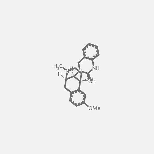 COc1ccc2c(c1)[C@@]1(C)CCN(C)[C@H](C2)[C@H]1N1Cc2ccccc2NC1=O